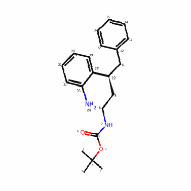 CC(C)(C)OC(=O)NCC[C@H](Cc1ccccc1)c1ccccc1N